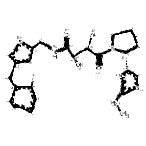 CNc1nc([C@H]2CCCN2C(=O)[C@H](O)[C@@H](O)C(=O)NCc2cc(Cc3ccccc3Cl)cs2)cs1